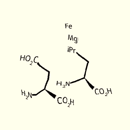 CC(C)C[C@H](N)C(=O)O.N[C@@H](CC(=O)O)C(=O)O.[Fe].[Mg]